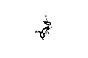 CCc1cc(Br)c2cc(-c3ccc(F)cc3)c(=O)[nH]c2c1